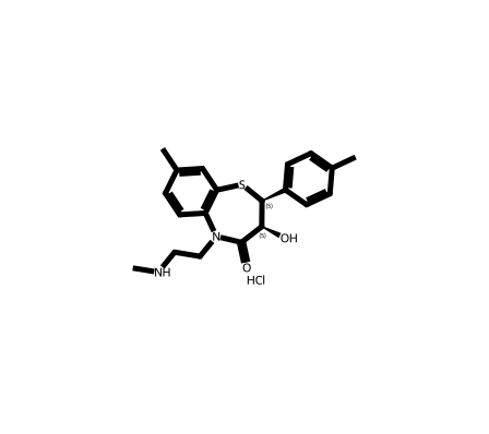 CNCCN1C(=O)[C@H](O)[C@H](c2ccc(C)cc2)Sc2cc(C)ccc21.Cl